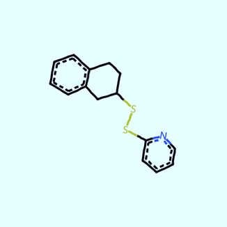 c1ccc(SSC2CCc3ccccc3C2)nc1